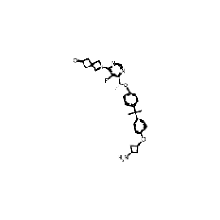 C[C@@H](Oc1ccc(C(C)(C)c2ccc(OC3CC(N)C3)cc2)cc1)c1ncnc(N2CC3(CC(=O)C3)C2)c1F